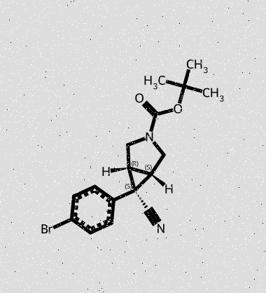 CC(C)(C)OC(=O)N1C[C@@H]2[C@H](C1)[C@@]2(C#N)c1ccc(Br)cc1